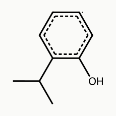 CC(C)c1cc[c]cc1O